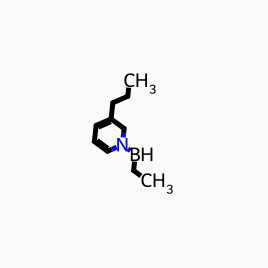 CCBN1C=CC=C(CCC)C1